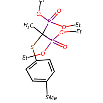 CCOP(=O)(OCC)C(C)(Sc1ccc(SC)cc1)P(=O)(OCC)OCC